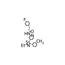 CCc1nc(-c2cccc(C)c2)c(-c2ccnc(NC(=O)CCc3ccc(F)cc3)c2)s1